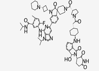 Cc1cc(F)c(Nc2nc(-c3ccc4c(c3)N([C@H]3C[C@@H](N5CCCCC5)C3)C(=O)C43CCN(C(=O)[C@@H]4CCN(C(=O)C[C@H]5CC[C@H](Nc6cccc7c6C(=O)N(C6CCC(=O)NC6=O)C7O)CC5)C4)CC3)cc3ncn(C(C)C)c23)cc1C(=O)NC(C)C